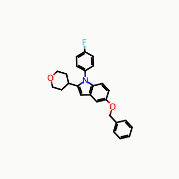 Fc1ccc(-n2c(C3CCOCC3)cc3cc(OCc4ccccc4)ccc32)cc1